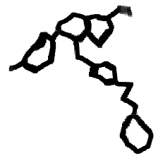 Oc1ccc2c(c1)CCN(c1ccc(F)cc1)C2Cc1ccc(CCCN2CCCCC2)cc1